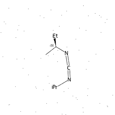 CC[C@H](C)N=C=NC(C)C